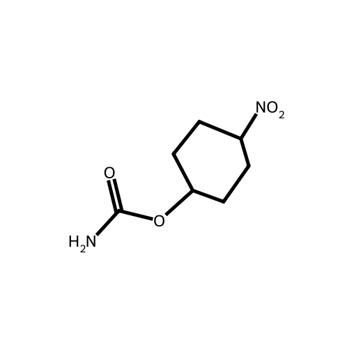 NC(=O)OC1CCC([N+](=O)[O-])CC1